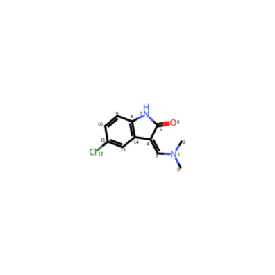 CN(C)C=C1C(=O)Nc2ccc(Cl)cc21